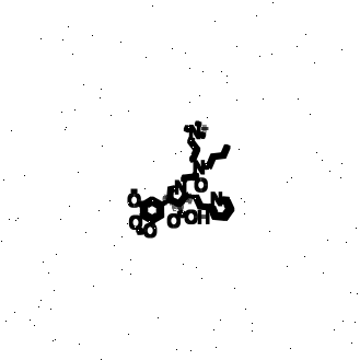 CCCCN(CCC[N+](C)(C)C)C(=O)CN1C[C@H](c2cc(OC)c3c(c2)OCO3)[C@@H](C(=O)O)[C@@H]1CCc1ccccn1